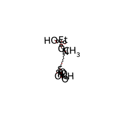 CCC(=C(c1ccc(O)cc1)c1ccc(OCCN(C)CCCCCCCCCCCCSc2cccc3c2C(=O)N(C2CCC(=O)NC2=O)C3=O)cc1)c1ccccc1